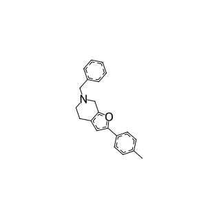 Cc1ccc(-c2cc3c(o2)CN(Cc2ccccc2)CC3)cc1